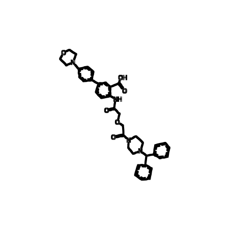 O=C(COCC(=O)N1CCN(C(c2ccccc2)c2ccccc2)CC1)Nc1ccc(-c2ccc(N3CCOCC3)cc2)cc1C(=O)O